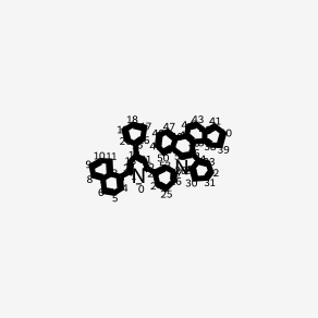 CN1C(c2cccc3ccccc23)=CC(c2ccccc2)=CC1c1cccc(-n2c3ccccc3c3c4c5ccccc5ccc4c4ccccc4c32)c1